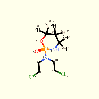 [2H]C1([2H])NP(=O)(N(CCCl)CCCl)OC([2H])([2H])C1([2H])[2H]